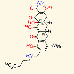 CNc1cc(CNCCCC(=O)O)c(O)c2c1C[C@H]1C[C@H]3CC(O)=C(C(N)=O)C(=O)[C@@]3(O)C(O)=C1C2=O